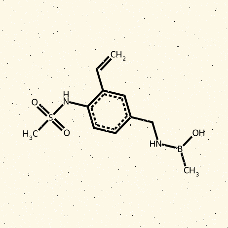 C=Cc1cc(CNB(C)O)ccc1NS(C)(=O)=O